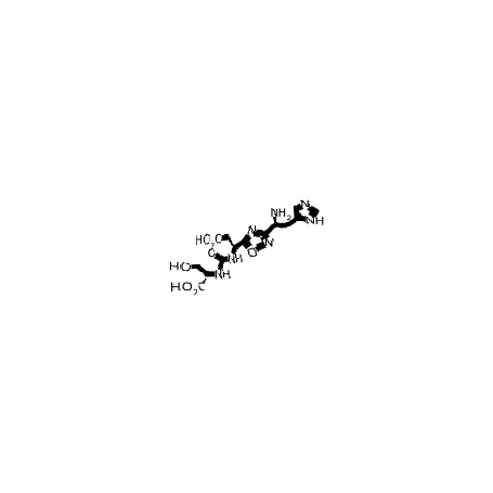 N[C@@H](Cc1cnc[nH]1)c1noc([C@H](CC(=O)O)NC(=O)N[C@@H](CO)C(=O)O)n1